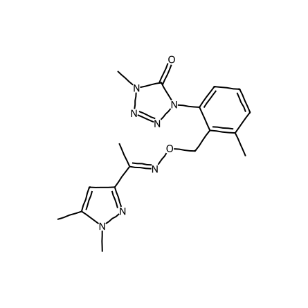 CC(=NOCc1c(C)cccc1-n1nnn(C)c1=O)c1cc(C)n(C)n1